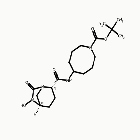 CC(C)(C)OC(=O)N1CCCC(NC(=O)[C@@H]2CC[C@@H]3CN2C(=O)N3O)CCC1